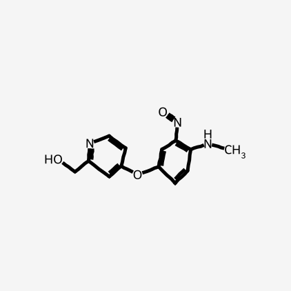 CNc1ccc(Oc2ccnc(CO)c2)cc1N=O